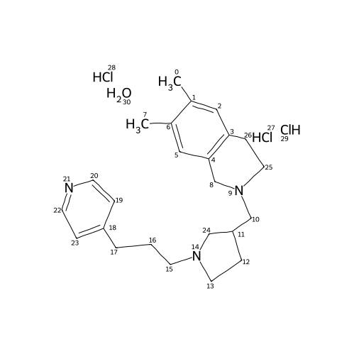 Cc1cc2c(cc1C)CN(CC1CCN(CCCc3ccncc3)C1)CC2.Cl.Cl.Cl.O